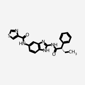 CC[C@H](C(=O)Nc1nc2cc(NC(=O)c3cscn3)ccc2[nH]1)c1ccccc1